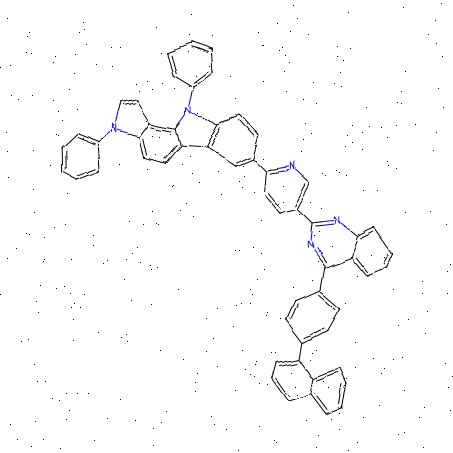 c1ccc(-n2ccc3c2ccc2c4cc(-c5ccc(-c6nc(-c7ccc(-c8cccc9ccccc89)cc7)c7ccccc7n6)cn5)ccc4n(-c4ccccc4)c23)cc1